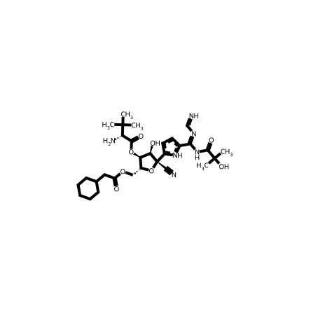 CC(C)(O)C(=O)N/C(=N/C=N)c1ccc([C@]2(C#N)O[C@H](COC(=O)CC3CCCCC3)[C@@H](OC(=O)[C@H](N)C(C)(C)C)[C@H]2O)[nH]1